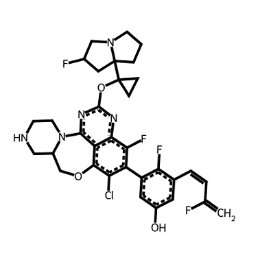 C=C(F)/C=C\c1cc(O)cc(-c2c(Cl)c3c4c(nc(OC5(C67CCCN6CC(F)C7)CC5)nc4c2F)N2CCNCC2CO3)c1F